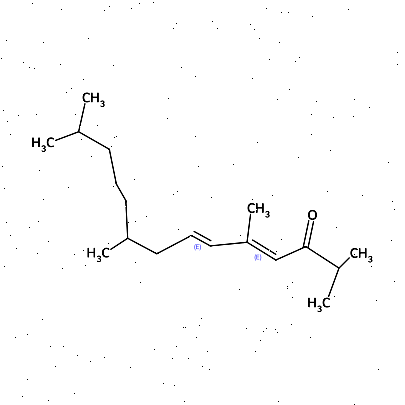 CC(/C=C/CC(C)CCCC(C)C)=C\C(=O)C(C)C